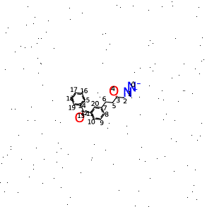 [N-]=[N+]=CC(=O)CCc1cccc(C(=O)c2ccccc2)c1